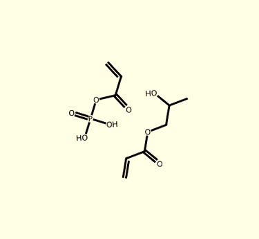 C=CC(=O)OCC(C)O.C=CC(=O)OP(=O)(O)O